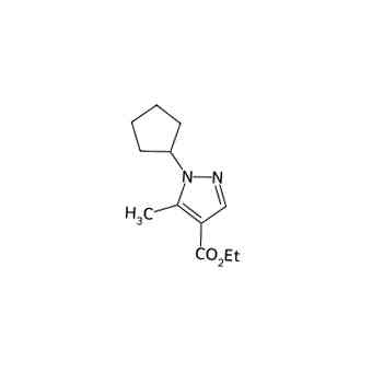 CCOC(=O)c1cnn(C2CCCC2)c1C